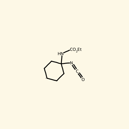 CCOC(=O)NC1(N=C=O)CC[CH]CC1